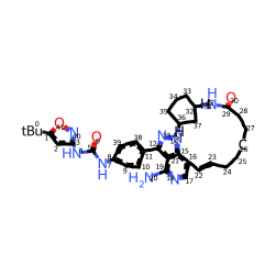 CC(C)(C)c1cc(NC(=O)Nc2ccc(-c3nn4c5c(cnc(N)c35)/C=C/CCCCCC(=O)N[C@@H]3CCC[C@@H]4C3)cc2)no1